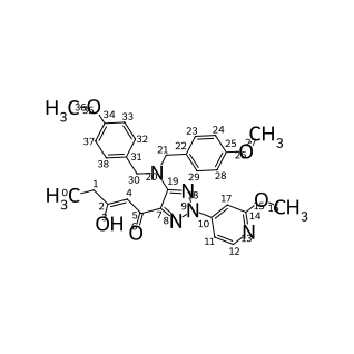 CCC(O)=CC(=O)c1nn(-c2ccnc(OC)c2)nc1N(Cc1ccc(OC)cc1)Cc1ccc(OC)cc1